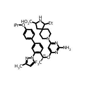 CCC1NC(C(=O)O)CC12CCN(c1cc(O[C@H](c3ccc(-c4ccc(OC(C)C)cc4)cc3-n3ccc(C)n3)C(F)(F)F)nc(N)n1)CC2